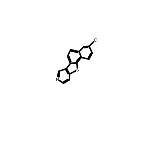 Clc1ccc2c(ccc3c4cnccc4sc23)c1